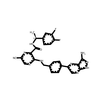 C[C@H](NC(=O)c1nc(C#N)cnc1NCc1ccc(-c2cnc3[nH]nc(N)c3n2)cc1)c1ccc(F)c(F)c1